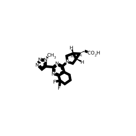 Cn1nncc1-c1nc(N2C[C@@H]3[C@H](CC(=O)O)[C@@H]3C2)c2c(n1)C(F)(F)CCC2